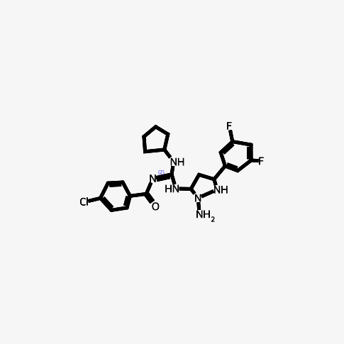 NN1NC(c2cc(F)cc(F)c2)CC1N/C(=N\C(=O)c1ccc(Cl)cc1)NC1CCCC1